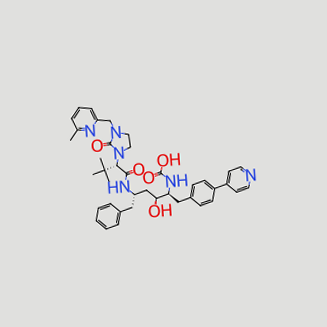 Cc1cccc(CN2CCN([C@H](C(=O)N[C@@H](Cc3ccccc3)C[C@H](O)[C@H](Cc3ccc(-c4ccncc4)cc3)NC(=O)O)C(C)(C)C)C2=O)n1